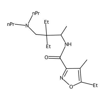 CCCN(CCC)CC(CC)(CC)C(C)NC(=O)c1noc(CC)c1C